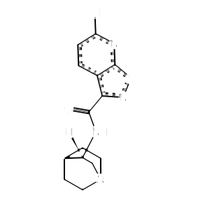 O=C(N[C@@H]1CN2CCC1CC2)c1nsc2nc(Cl)ccc12